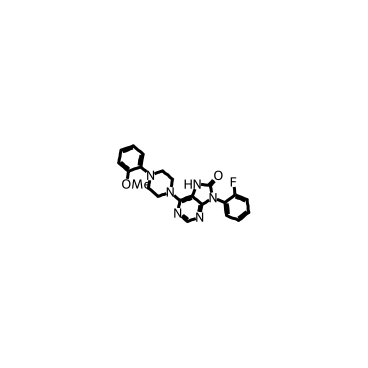 COc1ccccc1N1CCN(c2ncnc3c2[nH]c(=O)n3-c2ccccc2F)CC1